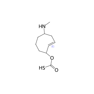 CNC1C/C=C/C(OC(=O)S)CCC1